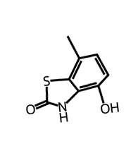 Cc1ccc(O)c2[nH]c(=O)sc12